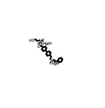 CC(C)Sc1cc(-c2ccc(CCN(C[C@H](O)c3ccccc3)C(=O)O)cc2)ccc1C(=O)NS(=O)(=O)CCCO